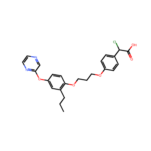 CCCc1cc(Oc2cnccn2)ccc1OCCCOc1ccc(C(Cl)C(=O)O)cc1